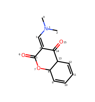 CN(C)C=C1C(=O)OC2C=CC=CC2C1=O